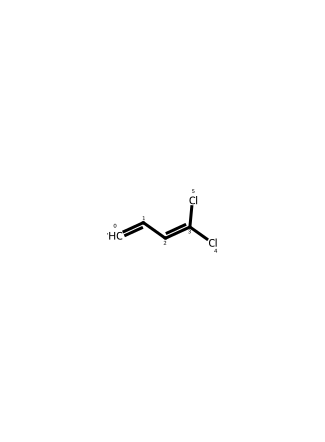 [CH]=CC=C(Cl)Cl